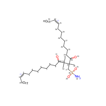 CCCCCCCC/C=C\CCCCCCCC(=O)C(C)(C)C(C)(CS(N)(=O)=O)C(=O)CCCCCCC/C=C\CCCCCCCC